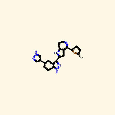 CC(=O)c1ccc(-c2nccc3[nH]c(-c4n[nH]c5ccc(-c6cn[nH]c6)cc45)cc23)s1